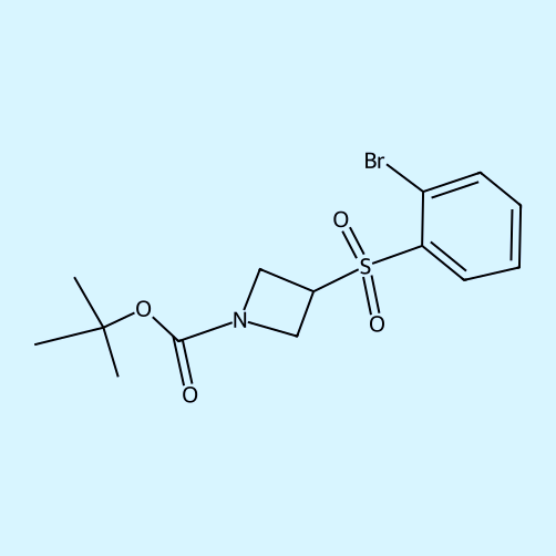 CC(C)(C)OC(=O)N1CC(S(=O)(=O)c2ccccc2Br)C1